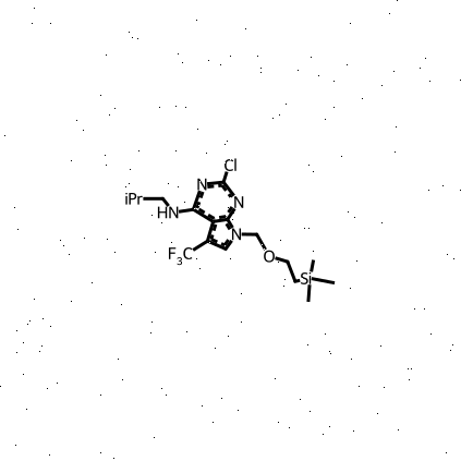 CC(C)CNc1nc(Cl)nc2c1c(C(F)(F)F)cn2COCC[Si](C)(C)C